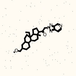 CCC12CCC3CC(COC)CCC3C1CCC1(C)C(C(=O)Cn3nc4ccncc4n3)CCC12